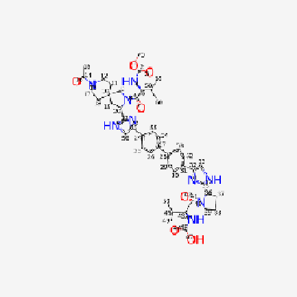 COC(=O)N[C@H](C(=O)N1CC2(CCN(C(C)=O)CC2)CC1c1nc(-c2ccc(-c3ccc(-c4c[nH]c([C@@H]5CCCN5C(=O)[C@@H](NC(=O)O)C(C)C)n4)cc3)cc2)c[nH]1)C(C)C